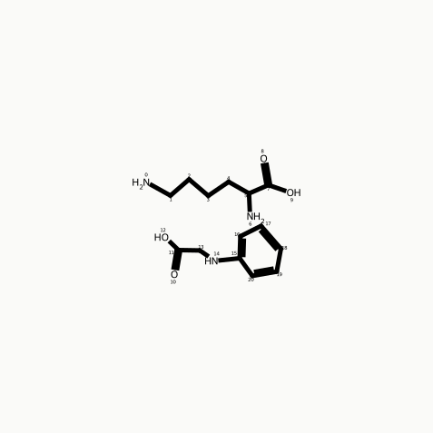 NCCCCC(N)C(=O)O.O=C(O)CNc1ccccc1